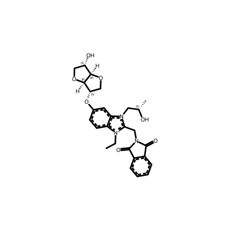 CC[n+]1c(CN2C(=O)c3ccccc3C2=O)n(C[C@H](C)O)c2cc(O[C@H]3CO[C@H]4[C@@H]3OC[C@@H]4O)ccc21